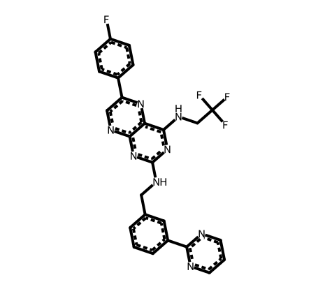 Fc1ccc(-c2cnc3nc(NCc4cccc(-c5ncccn5)c4)nc(NCC(F)(F)F)c3n2)cc1